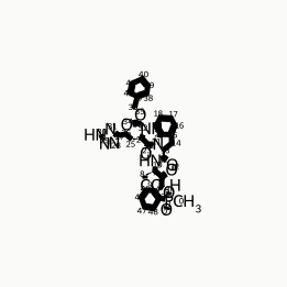 CP(=O)(OCC(=O)[C@H](CC(=O)O)NC(=O)[C@@H]1Cc2ccccc2N1C(=O)[C@H](CCc1nn[nH]n1)NC(=O)OCc1ccccc1)c1ccccc1